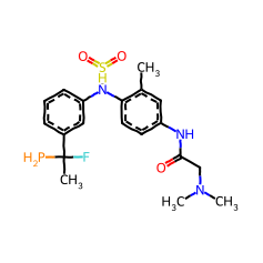 Cc1cc(NC(=O)CN(C)C)ccc1N(c1cccc(C(C)(F)P)c1)[SH](=O)=O